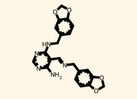 Nc1ncnc(NCc2ccc3c(c2)OCO3)c1/C=N/Cc1ccc2c(c1)OCO2